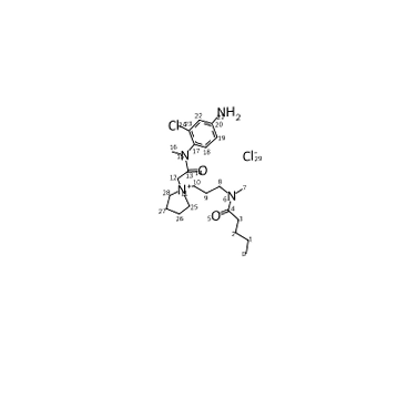 CCCCC(=O)N(C)CCC[N+]1(CC(=O)N(C)c2ccc(N)cc2Cl)CCCC1.[Cl-]